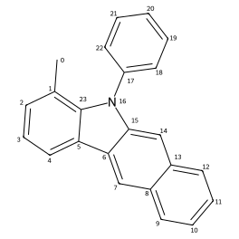 Cc1cccc2c3cc4ccccc4cc3n(-c3ccccc3)c12